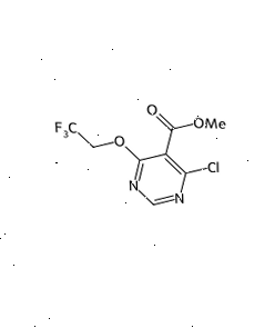 COC(=O)c1c(Cl)ncnc1OCC(F)(F)F